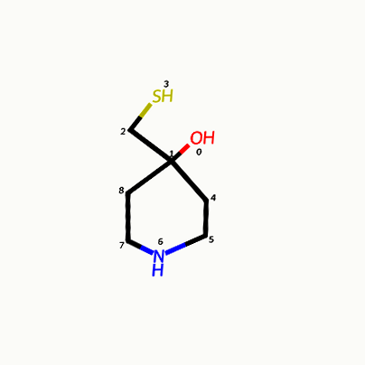 OC1(CS)CCNCC1